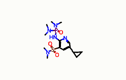 CN(C)P(=O)(Nc1ncc(C2CC2)cc1S(=O)(=O)N(C)C)N(C)C